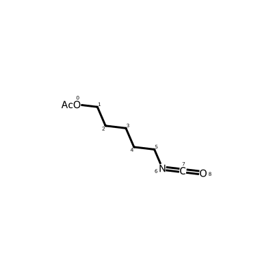 CC(=O)OCCCCCN=C=O